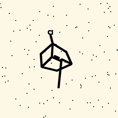 CC1C=C2C3CC1CC2(Cl)C3